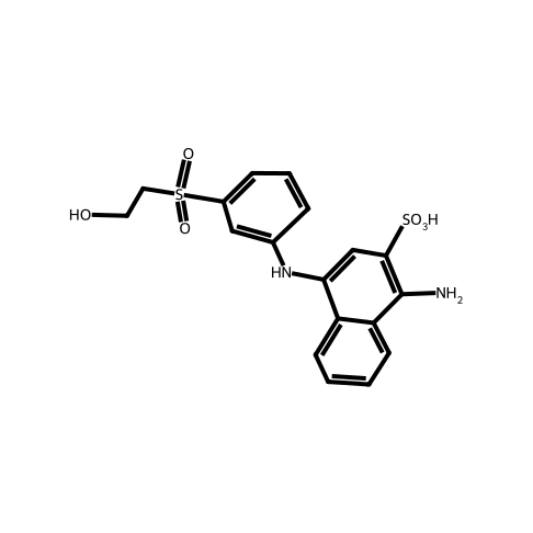 Nc1c(S(=O)(=O)O)cc(Nc2cccc(S(=O)(=O)CCO)c2)c2ccccc12